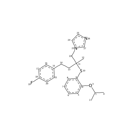 CC(C)Oc1ccccc1SC(C)(CCc1ccc(F)cc1)Cn1ccnc1